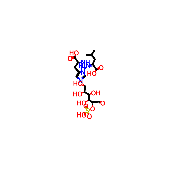 CC(C)CC(N)C(=O)O.N[C@@H](Cc1cnc[nH]1)C(=O)O.O=C[C@H](OS(=O)(=O)O)[C@@H](O)[C@H](O)[C@H](O)CO